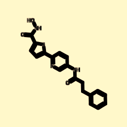 O=C(CCc1ccccc1)Nc1ccc(-c2ccc(C(=O)NO)s2)nc1